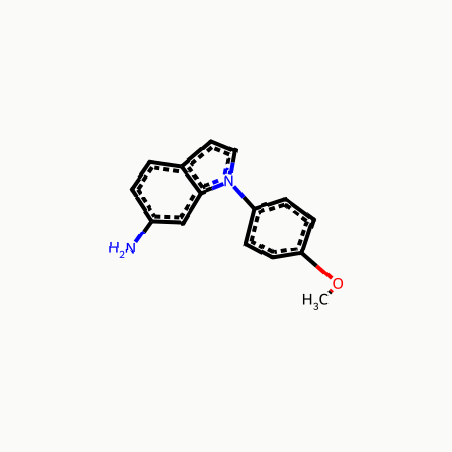 COc1ccc(-n2ccc3ccc(N)cc32)cc1